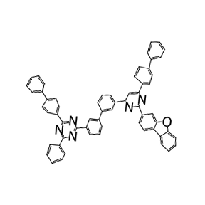 c1ccc(-c2ccc(-c3cc(-c4cccc(-c5cccc(-c6nc(-c7ccccc7)nc(-c7ccc(-c8ccccc8)cc7)n6)c5)c4)nc(-c4ccc5c(c4)oc4ccccc45)n3)cc2)cc1